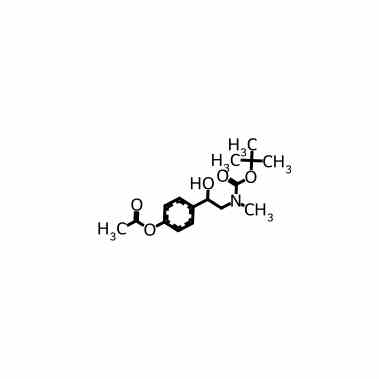 CC(=O)Oc1ccc(C(O)CN(C)C(=O)OC(C)(C)C)cc1